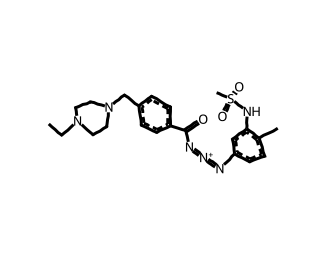 CCN1CCN(Cc2ccc(C(=O)N=[N+]=Nc3ccc(C)c(NS(C)(=O)=O)c3)cc2)CC1